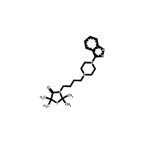 CC1(C)SC(C)(C)N(CCCCN2CCN(c3nsc4ccccc34)CC2)C1=O